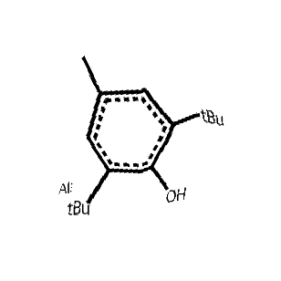 Cc1cc(C(C)(C)C)c(O)c(C(C)(C)C)c1.[Al]